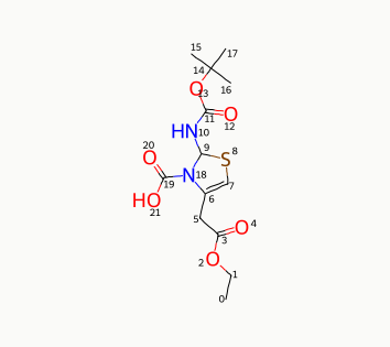 CCOC(=O)CC1=CSC(NC(=O)OC(C)(C)C)N1C(=O)O